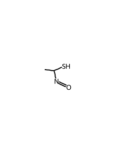 CC(S)N=O